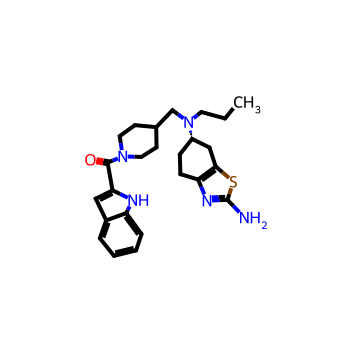 CCCN(CC1CCN(C(=O)c2cc3ccccc3[nH]2)CC1)[C@H]1CCc2nc(N)sc2C1